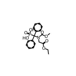 CCOC(=O)CN(C(=O)OC)C(c1ccccc1)(c1ccccc1)P(=O)(O)O